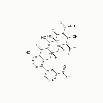 CN(C)[C@@H]1C(O)=C(C(N)=O)C(=O)[C@@]2(O)C(O)=C3C(=O)c4c(O)ccc(-c5cccc([N+](=O)[O-])c5)c4C[C@H]3C[C@@H]12